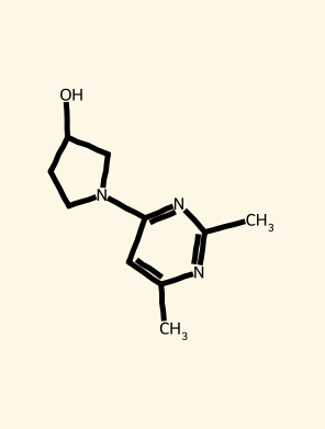 Cc1cc(N2CCC(O)C2)nc(C)n1